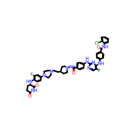 O=C1CC[C@@H](Nc2ccc(N3CCN(CCC4CCN(NC(=O)c5ccc(Nc6ncc(F)c(Nc7ccc(C(=O)Nc8ccccc8Cl)cc7)n6)cc5)CC4)CC3)cc2F)C(=O)N1